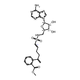 C=C(CC/C=C/S(=O)(=O)NC[C@H]1O[C@@H](n2cnc3c(N)ncnc32)[C@H](O)[C@@H]1O)c1ccccc1C(=O)OC